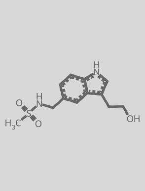 CS(=O)(=O)NCc1ccc2[nH]cc(CCO)c2c1